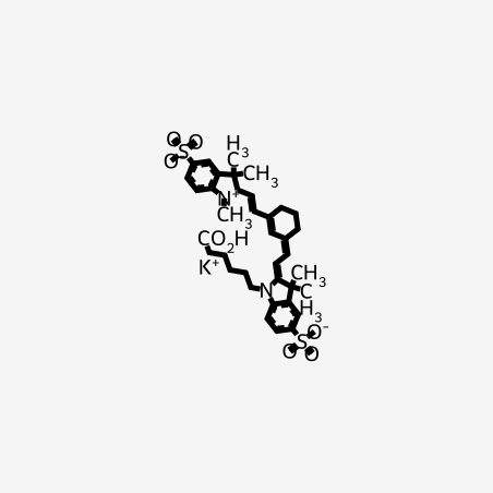 C[N+]1=C(C=CC2=CC(=CC=C3N(CCCCCC(=O)O)c4ccc(S(=O)(=O)[O-])cc4C3(C)C)CCC2)C(C)(C)c2cc(S(=O)(=O)[O-])ccc21.[K+]